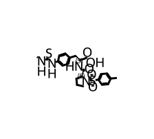 CNC(=S)Nc1ccc(C[C@H](NC(=O)[C@@H]2CCCN2S(=O)(=O)c2ccc(C)cc2)C(=O)O)cc1